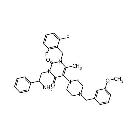 COc1cccc(CN2CCN(c3c(C)n(Cc4c(F)cccc4F)c(=O)n(CC(N)c4ccccc4)c3=O)CC2)c1